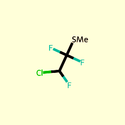 CSC(F)(F)C(F)Cl